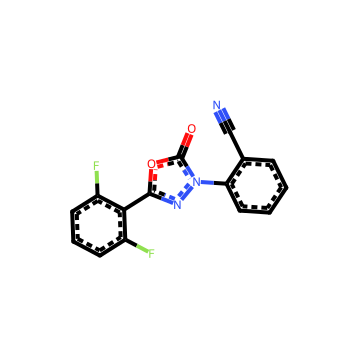 N#Cc1ccccc1-n1nc(-c2c(F)cccc2F)oc1=O